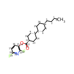 CCCC[C@H]1CC[C@H]([C@H]2CC[C@H](C(=O)Oc3ccc(F)nc3F)CC2)CC1